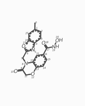 Cc1ccc2nc(CN3C(=O)COc4ccc(C(=O)NO)cc43)oc2c1